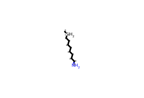 C[SiH2]CCCCCCCCN